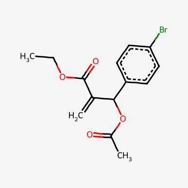 C=C(C(=O)OCC)C(OC(C)=O)c1ccc(Br)cc1